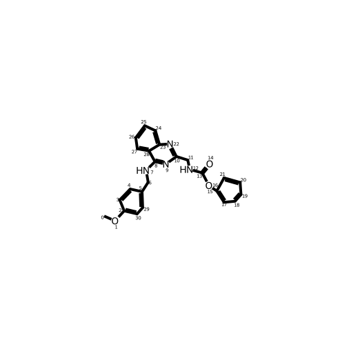 COc1ccc(CNc2nc(CNC(=O)Oc3ccccc3)nc3ccccc23)cc1